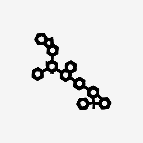 CC1(c2ccccc2)c2ccccc2-c2ccc(-c3ccc(-c4ccc(-c5cc(-c6ccc7sc8ccccc8c7c6)nc(-c6ccccc6)n5)c5ccccc45)cc3)cc21